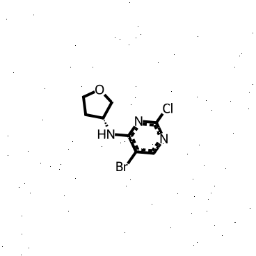 Clc1ncc(Br)c(N[C@@H]2CCOC2)n1